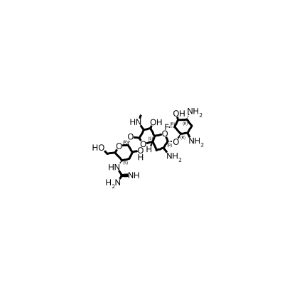 CNC1C(O[C@H]2OC(CO)[C@@H](NC(=N)N)CC2O)O[C@H]2CC(N)[C@@H](O[C@@H]3C(N)C[C@@H](N)C(O)[C@H]3F)OC2C1O